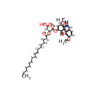 CCCCCCCCCCCCCCCCCC(=O)O[C@@H](CC(=O)O)C(=O)OC1=CC[C@@]2(O)[C@H]3Cc4ccc(OC)c5c4[C@@]2(CCN3C)[C@H]1O5